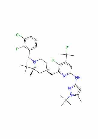 Cc1cc(Nc2cc(C(C)(C)F)c(F)c(C[C@@H]3CCN(Cc4cccc(Cl)c4F)[C@@](C)(C(C)(C)C)C3)n2)nn1C(C)(C)C